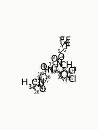 CN(C(=O)OCCCC(F)(F)F)[C@H]1CN(C(=O)C2CCN(C(=O)C3(C)CC3)CC2)C[C@@H]1c1ccc(Cl)c(Cl)c1